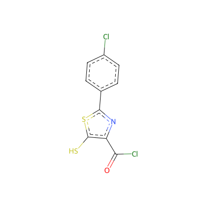 O=C(Cl)c1nc(-c2ccc(Cl)cc2)sc1S